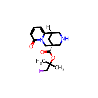 CC(C)(CI)OC(=O)[C@@]12CNC[C@@H](C1)c1cccc(=O)n1C2